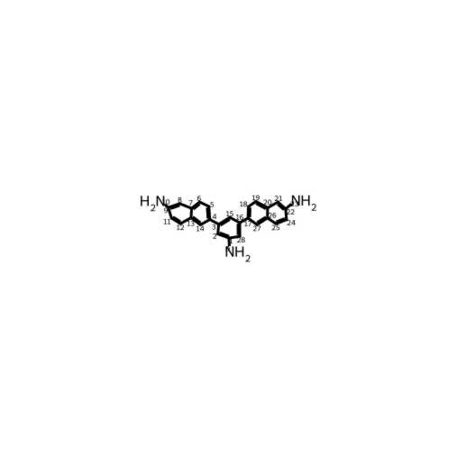 Nc1cc(-c2ccc3cc(N)ccc3c2)cc(-c2ccc3cc(N)ccc3c2)c1